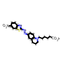 O=C(O)CCCCCN1CCCc2cc(N=Nc3nc4ccc([N+](=O)[O-])cc4s3)ccc21